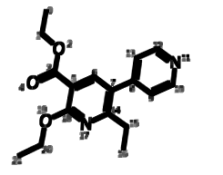 CCOC(=O)c1cc(-c2ccncc2)c(CC)nc1OCC